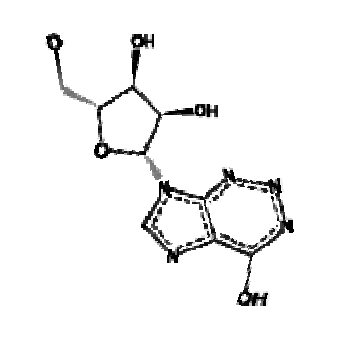 [O]C[C@H]1O[C@@H](n2cnc3c(O)nnnc32)[C@H](O)[C@@H]1O